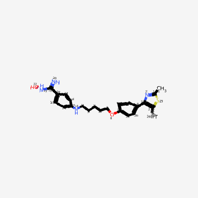 Cc1nc(-c2ccc(OCCCCCNc3ccc(C(=N)NO)cc3)cc2)c(C(C)C)s1